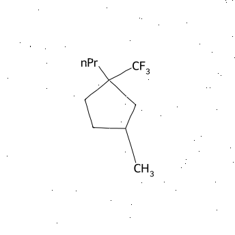 CCCC1(C(F)(F)F)CCC(C)C1